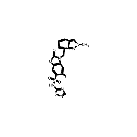 Cn1cc2cccc(Cn3c(=O)oc4cc(S(=O)(=O)Nc5ncns5)c(F)cc43)c2n1